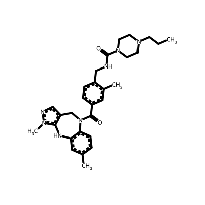 CCCN1CCN(C(=O)NCc2ccc(C(=O)N3Cc4cnn(C)c4Nc4cc(C)ccc43)cc2C)CC1